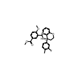 COC(=O)c1ccc(OC)c(C(=O)N[C@]2(c3ccc(C)c(F)c3)CCOc3cccnc32)c1